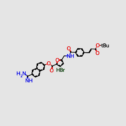 Br.CC(C)(C)OC(=O)/C=C/c1ccc(C(=O)NCc2ccc(C(=O)Oc3ccc4cc(C(=N)N)ccc4c3)o2)cc1